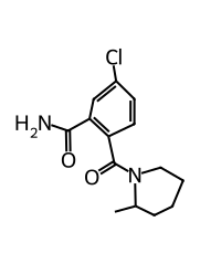 CC1CCCCN1C(=O)c1ccc(Cl)cc1C(N)=O